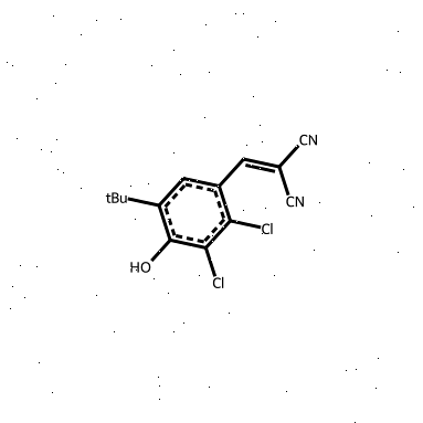 CC(C)(C)c1cc(C=C(C#N)C#N)c(Cl)c(Cl)c1O